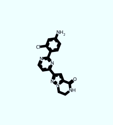 Nc1ccc(-c2nccc(-c3cc4n(n3)CCNC4=O)n2)c(Cl)c1